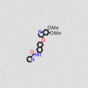 COc1cc2nccc(Oc3ccc4cc(NC(=O)c5ccccn5)ccc4c3)c2cc1OC